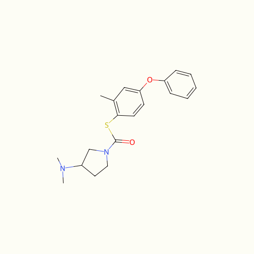 Cc1cc(Oc2ccccc2)ccc1SC(=O)N1CCC(N(C)C)C1